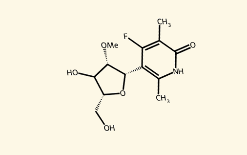 CO[C@H]1C(O)[C@@H](CO)O[C@H]1c1c(C)[nH]c(=O)c(C)c1F